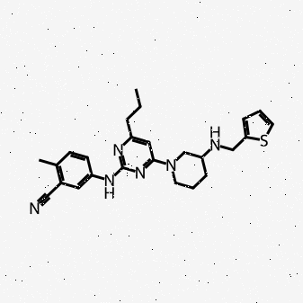 CCCc1cc(N2CCCC(NCc3cccs3)C2)nc(Nc2ccc(C)c(C#N)c2)n1